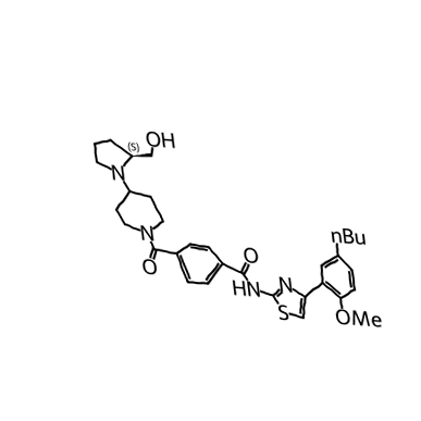 CCCCc1ccc(OC)c(-c2csc(NC(=O)c3ccc(C(=O)N4CCC(N5CCC[C@H]5CO)CC4)cc3)n2)c1